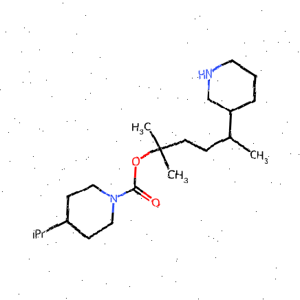 CC(C)C1CCN(C(=O)OC(C)(C)CCC(C)C2CCCNC2)CC1